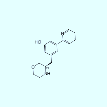 Cl.c1ccc(-c2cccc(C[C@@H]3COCCN3)c2)nc1